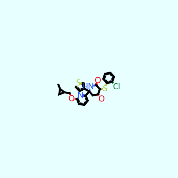 CC1CC1COc1cccc(C2(c3ccsc3)CC(=O)C(Sc3ccccc3Cl)C(=O)N2)n1